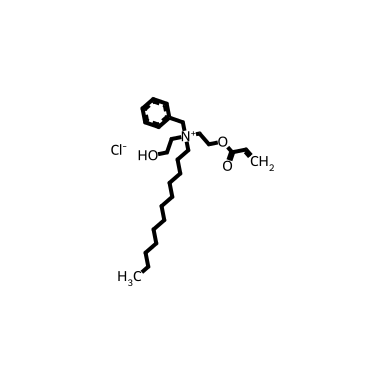 C=CC(=O)OCC[N+](CCO)(CCCCCCCCCCCC)Cc1ccccc1.[Cl-]